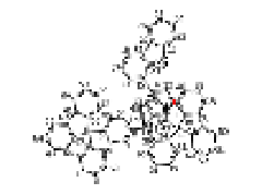 c1ccc(C2(c3ccc(N(c4cccc(-c5cccc6c5sc5ccccc56)c4)c4cccc5c4C(c4ccccc4)(c4ccccc4)c4ccccc4-5)cc3)c3ccccc3-c3ccccc32)cc1